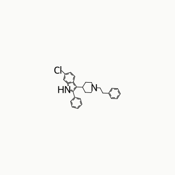 Clc1ccc2c(C3CCN(CCc4ccccc4)CC3)c(-c3ccccc3)[nH]c2c1